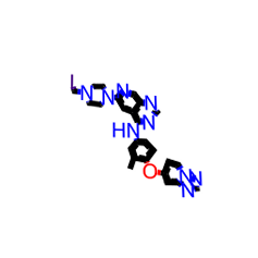 Cc1cc(Nc2ncnc3cnc(N4CCN(CI)CC4)cc23)ccc1Oc1ccn2ncnc2c1